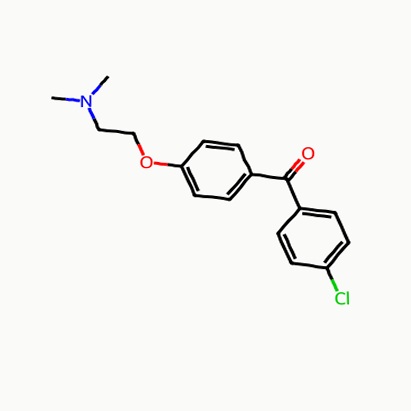 CN(C)CCOc1ccc(C(=O)c2ccc(Cl)cc2)cc1